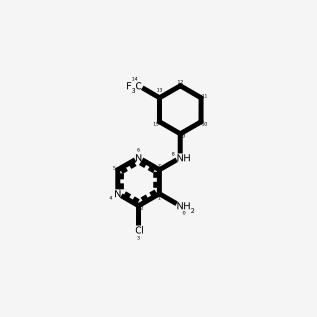 Nc1c(Cl)ncnc1NC1CCCC(C(F)(F)F)C1